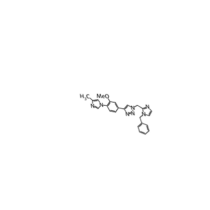 COc1cc(-c2cn(Cc3nccn3Cc3ccccc3)nn2)ccc1-n1cnc(C)c1